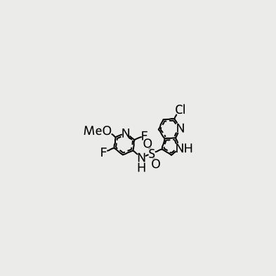 COc1nc(F)c(NS(=O)(=O)c2c[nH]c3nc(Cl)ccc23)cc1F